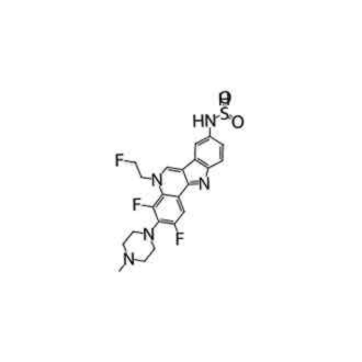 CN1CCN(c2c(F)cc3c4nc5ccc(N[SH](=O)=O)cc5c-4cn(CCF)c3c2F)CC1